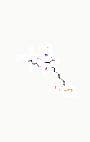 O=c1[nH]c(=O)c2c([nH]1)n(C[C@H](O)[C@H](O)[C@H](O)CO)c(=O)n2CCCCCCOP(=O)(O)O